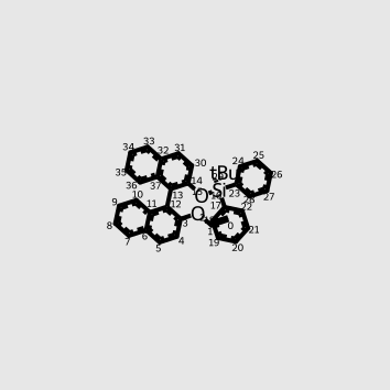 C=COc1ccc2ccccc2c1-c1c(O[Si](c2ccccc2)(c2ccccc2)C(C)(C)C)ccc2ccccc12